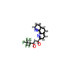 O=C(CC(=O)C(F)(F)C(F)(F)F)c1ccc2ccc3cccnc3c2n1